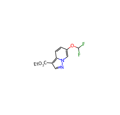 CCOC(=O)c1cnn2cc(OC(F)F)ccc12